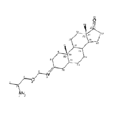 CC(N)COCN=C1CC[C@@]2(C)C(CCC3C2CC[C@]2(C)C(=O)CCC32)C1